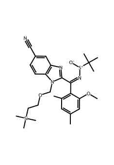 COc1cc(C)cc(C)c1C(=N[S+]([O-])C(C)(C)C)c1nc2cc(C#N)ccc2n1COCC[Si](C)(C)C